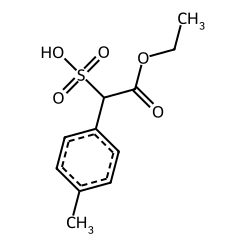 CCOC(=O)C(c1ccc(C)cc1)S(=O)(=O)O